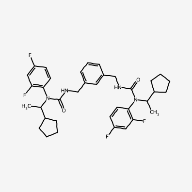 CC(C1CCCC1)N(C(=O)NCc1cccc(CNC(=O)N(c2ccc(F)cc2F)C(C)C2CCCC2)c1)c1ccc(F)cc1F